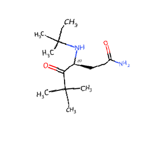 CC(C)(C)N[C@@H](CC(N)=O)C(=O)C(C)(C)C